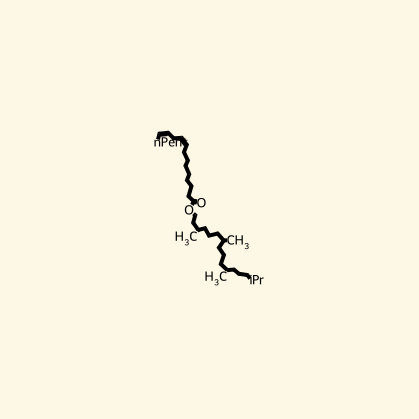 CCCCC/C=C\C/C=C\CCCCCCCC(=O)OCCC(C)CCCC(C)CCCC(C)CCCC(C)C